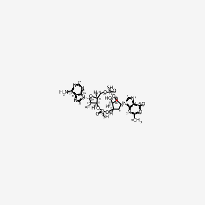 Cc1nc2c(ncn2[C@@H]2C[C@@H]3OP(=O)(S)O[C@H]4[C@@H](F)[C@H](n5cnc6c(N)ncnc65)O[C@@H]4COP(=O)(S)O[C@@H]2[C@@H]3O)c(=O)o1